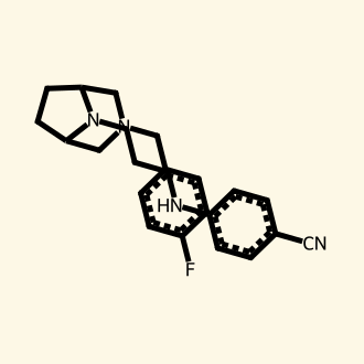 N#Cc1ccc(NCCCN2C3CCC2CN(Cc2ccc(F)cc2)C3)cc1